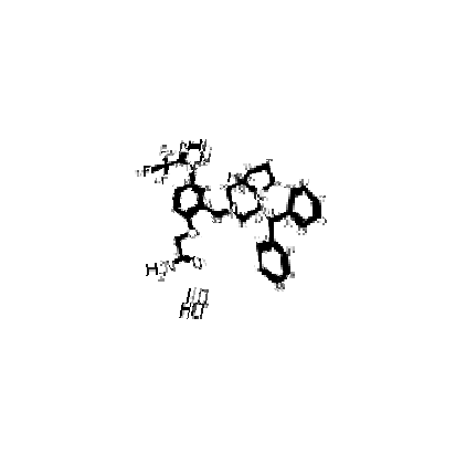 Cl.Cl.NC(=O)COc1ccc(-n2nnnc2C(F)(F)F)cc1CN1C[C@@H]2CCCN2[C@H](C(c2ccccc2)c2ccccc2)C1